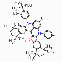 CCCCC(C)(C)c1ccc(N2c3cc4c(cc3B3c5oc6cc7c(cc6c5N(c5ccc(F)cc5)c5cc(C)cc2c53)C(C)(C)CCC7(C)C)C(C)(C)CCC4(C)C)cc1CC